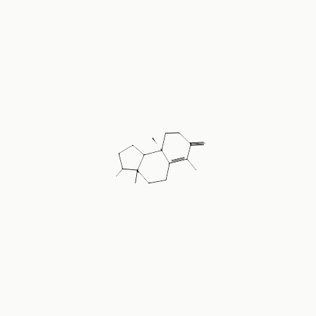 CC1=C2CCC3(C)C(O)CCC3[C@@H]2CCC1=O